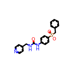 O=C(NCc1ccncc1)Nc1ccc(S(=O)(=O)Cc2ccccc2)cc1